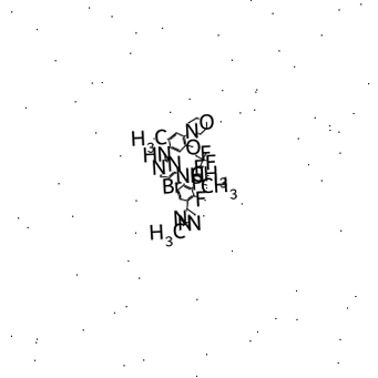 Cc1cc(N2CCOCC2)c(OCC(F)(F)F)cc1Nc1ncc(Br)c(Nc2ccc(-c3cnn(C)n3)c(F)c2P(C)C)n1